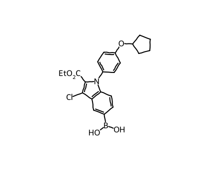 CCOC(=O)c1c(Cl)c2cc(B(O)O)ccc2n1-c1ccc(OC2CCCC2)cc1